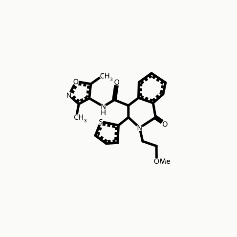 COCCN1C(=O)c2ccccc2C(C(=O)Nc2c(C)noc2C)C1c1cccs1